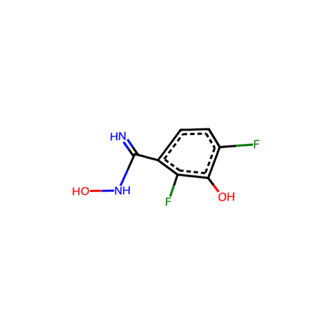 N=C(NO)c1ccc(F)c(O)c1F